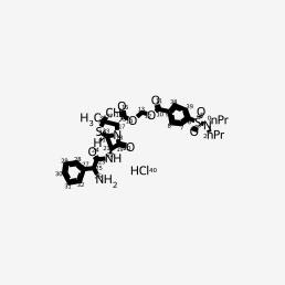 CCCN(CCC)S(=O)(=O)c1ccc(C(=O)OCOC(=O)[C@@H]2N3C(=O)[C@@H](NC(=O)C(N)c4ccccc4)[C@H]3SC2(C)C)cc1.Cl